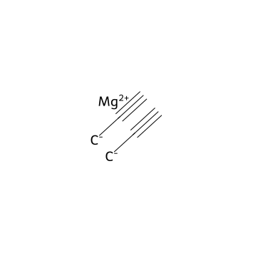 C#C[CH2-].C#C[CH2-].[Mg+2]